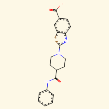 O=C(O)c1ccc2nc(N3CCC(C(=O)Nc4ccccc4)CC3)sc2c1